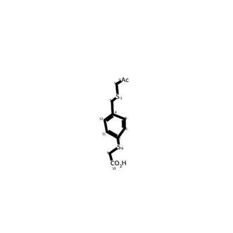 CC(=O)CSCc1ccc(SCC(=O)O)cc1